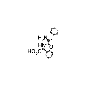 N[C@@H](Cc1ccccc1)C(=O)N[C@@H](C(=O)O)c1ccccc1